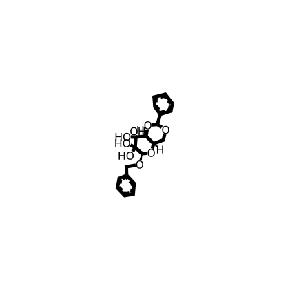 OC1(O)[C@H](OCc2ccccc2)O[C@@H]2COC(c3ccccc3)O[C@@H]2C1(O)O